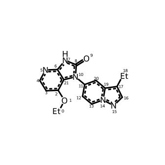 CCOc1ccnc2[nH]c(=O)n(-c3ccn4ncc(CC)c4c3)c12